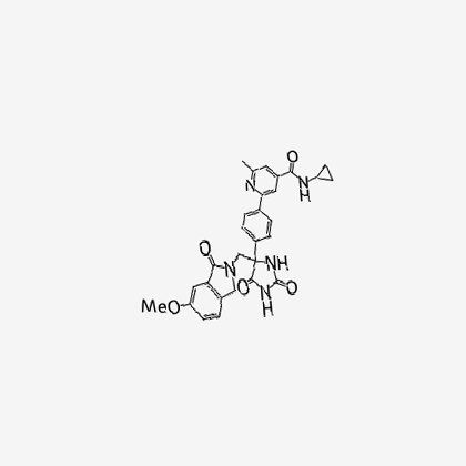 COc1ccc2c(c1)C(=O)N(CC1(c3ccc(-c4cc(C(=O)NC5CC5)cc(C)n4)cc3)NC(=O)NC1=O)C2